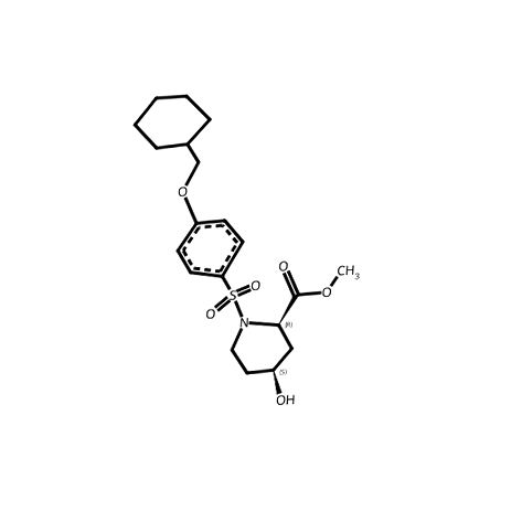 COC(=O)[C@H]1C[C@@H](O)CCN1S(=O)(=O)c1ccc(OCC2CCCCC2)cc1